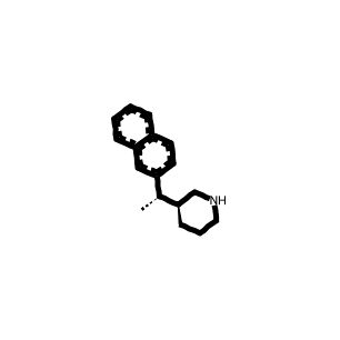 C[C@H](c1ccc2ccccc2c1)[C@@H]1CCCNC1